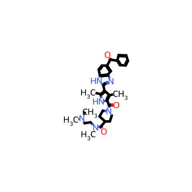 Cc1[nH]c(C(=O)N2CCC(C(=O)N(C)CCN(C)C)CC2)c(C)c1-c1nc2cc(C(=O)c3ccccc3)ccc2[nH]1